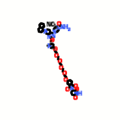 CN1C[C@H](OCCOCCOCCOCCOCCOc2ccc3c(c2)C(=O)N(C2CCC(=O)NC2=O)C3=O)C[C@H]1COc1nc2c(c(N3CCN(C(N)=O)[C@@H](CC#N)C3)n1)CCN(c1cccc3ccccc13)C2